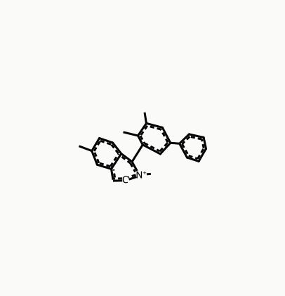 Cc1ccc2c(-c3cc(-c4ccccc4)cc(C)c3C)[n+](C)ccc2c1